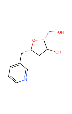 OC[C@H]1O[C@@H](Cc2cccnc2)CC1O